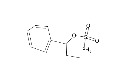 CCC(OS(=O)(=O)P)c1ccccc1